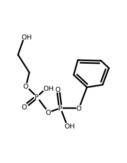 O=P(O)(OCCO)OP(=O)(O)Oc1ccccc1